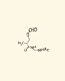 CC(=O)NCNC(=O)C(C)COC=O